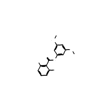 COc1cc(NC(=S)c2c(F)cccc2Cl)cc(OC)c1